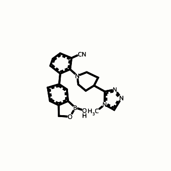 Cn1cnnc1C1CCN(c2c(C#N)cccc2-c2ccc3c(c2)B(O)OC3)CC1